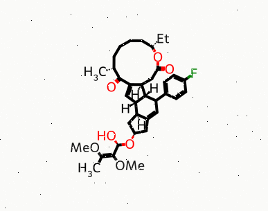 CC[C@H]1CCCC[C@@H](C)C(=O)C2=C[C@@H]3[C@@H](C(c4ccc(F)cc4)C=C4C[C@@H](O[C@H](O)/C(OC)=C(/C)OC)C[C@H]43)[C@@H]2CC(=O)O1